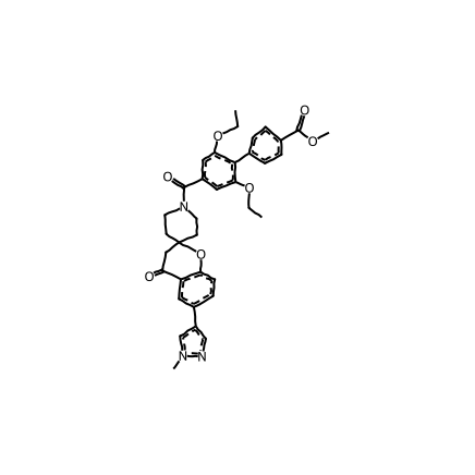 CCOc1cc(C(=O)N2CCC3(CC2)CC(=O)c2cc(-c4cnn(C)c4)ccc2O3)cc(OCC)c1-c1ccc(C(=O)OC)cc1